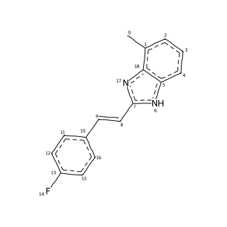 Cc1cccc2[nH]c(C=Cc3ccc(F)cc3)nc12